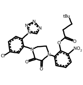 CC(C)(C)CCC(=O)Oc1c(N2CCN(c3cc(Cl)ccc3-n3cnnn3)C(=O)C2=O)cccc1[N+](=O)[O-]